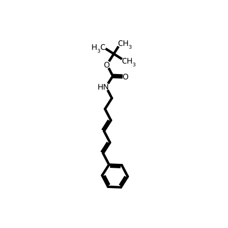 CC(C)(C)OC(=O)NCC/C=C/C=C/c1ccccc1